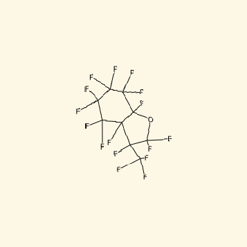 FC(F)(F)C1(F)C(F)(F)OC2(F)C(F)(F)C(F)(F)C(F)(F)C(F)(F)C21F